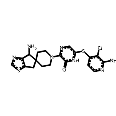 Nc1nccc(Sc2cnc(N3CCC4(CC3)Cc3scnc3C4N)c(=O)[nH]2)c1Cl